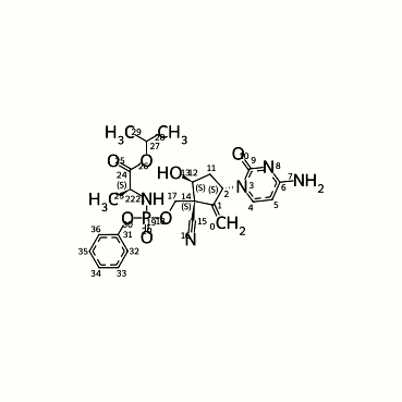 C=C1[C@@H](n2ccc(N)nc2=O)C[C@H](O)[C@@]1(C#N)COP(=O)(N[C@@H](C)C(=O)OC(C)C)Oc1ccccc1